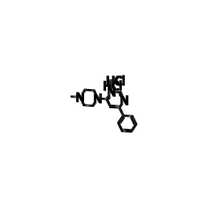 CN1CCN(c2cc(-c3ccccc3)ncn2)CC1.Cl.Cl